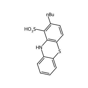 CCCCc1ccc2c(c1S(=O)(=O)O)Nc1ccccc1S2